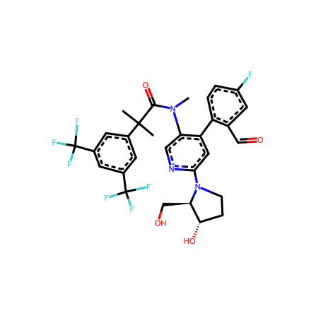 CN(C(=O)C(C)(C)c1cc(C(F)(F)F)cc(C(F)(F)F)c1)c1cnc(N2CC[C@H](O)[C@H]2CO)cc1-c1ccc(F)cc1C=O